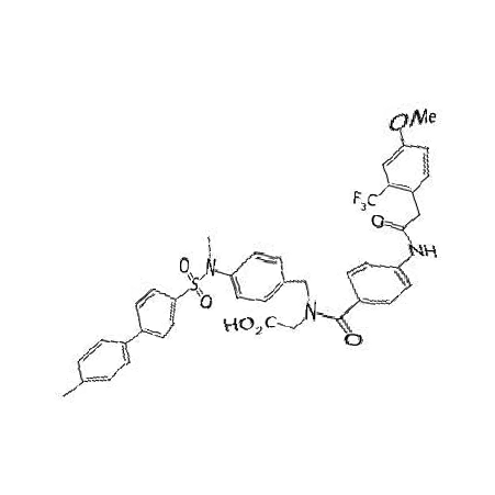 COc1ccc(CC(=O)Nc2ccc(C(=O)N(CC(=O)O)Cc3ccc(N(C)S(=O)(=O)c4ccc(-c5ccc(C)cc5)cc4)cc3)cc2)c(C(F)(F)F)c1